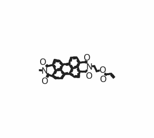 C=CC(=O)OCCN1C(=O)c2ccc3c4ccc5c6c(ccc(c7ccc(c2c37)C1=O)c64)C(=O)N(C)C5=O